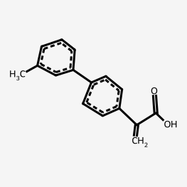 C=C(C(=O)O)c1ccc(-c2cccc(C)c2)cc1